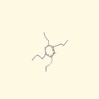 CCCc1[c]c(CCC)c(CCC)[c]c1CCC